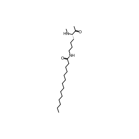 CCCCCCCCCCCCCC(=O)NCCCC[C@H](NC)C(C)=O